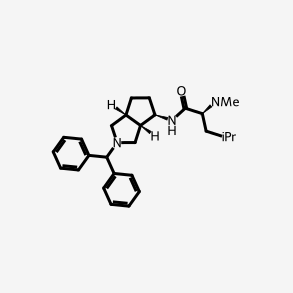 CN[C@@H](CC(C)C)C(=O)N[C@@H]1CC[C@H]2CN(C(c3ccccc3)c3ccccc3)C[C@H]21